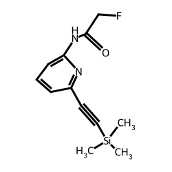 C[Si](C)(C)C#Cc1cccc(NC(=O)CF)n1